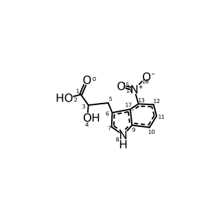 O=C(O)C(O)Cc1c[nH]c2cccc([N+](=O)[O-])c12